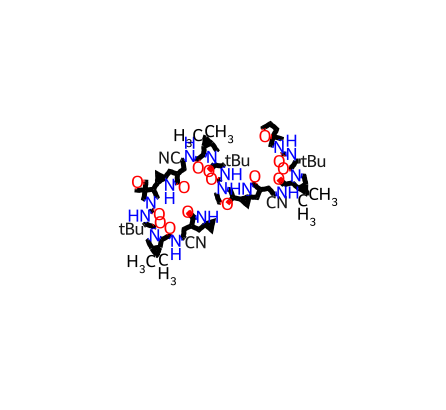 CC(C)(C)C(NC(=O)N1CCOC(C2CC23CC(CC(C#N)NC(=O)C2C4C(CN2C(=O)C(NC(=O)N2CC5(CCCO5)C2)C(C)(C)C)C4(C)C)C(=O)N3)C1)C(=O)N1CC2C(C1C(=O)NC(C#N)CC1CC3(CC3C3CN(C(=O)NC(C(=O)N4CC5C(C4C(=O)NC(C#N)CC4CC6(CC6)NC4=O)C5(C)C)C(C)(C)C)CC34COC4)NC1=O)C2(C)C